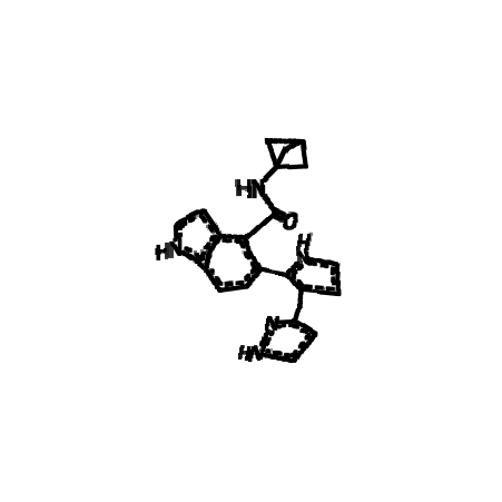 O=C(NC12CC(C1)C2)c1c(-c2[nH]ccc2-c2cc[nH]n2)ccc2[nH]ccc12